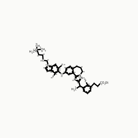 CCOC(=O)CCc1cccc(C(C)c2nc3n(n2)CCCc2ccc(Oc4c(F)cc5c(ccn5COCC[Si](C)(C)C)c4F)cc2-3)c1F